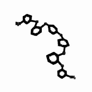 Nc1cccc(Oc2ccccc2Oc2ccc(Oc3ccc(Oc4ccccc4Oc4cccc(N)c4)cc3)cc2)c1